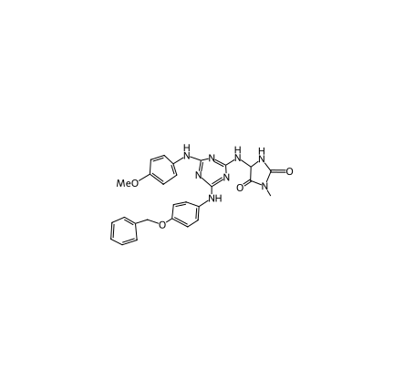 COc1ccc(Nc2nc(Nc3ccc(OCc4ccccc4)cc3)nc(NC3NC(=O)N(C)C3=O)n2)cc1